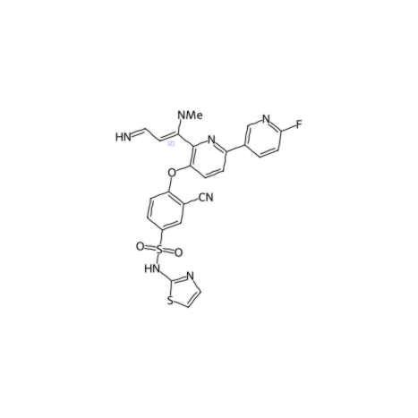 CN/C(=C\C=N)c1nc(-c2ccc(F)nc2)ccc1Oc1ccc(S(=O)(=O)Nc2nccs2)cc1C#N